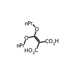 CCCOC(OCCC)=C(C(=O)O)C(=O)O